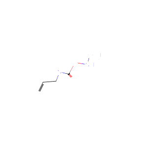 C=CCNC(=O)ONC(=O)OCC